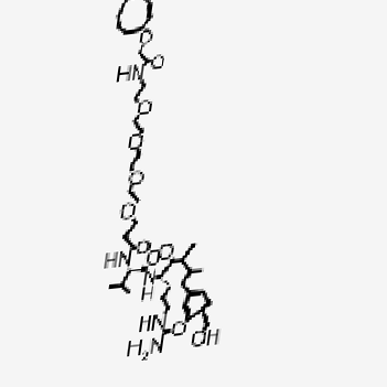 CC(Cc1ccc(CO)cc1)C(C)C(=O)[C@H](CCCNC(N)=O)NC(=O)[C@@H](NC(=O)CCOCCOCCOCCOCCNC(=O)COC1/C=C\CCCCC1)C(C)C